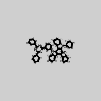 c1ccc(-c2nc(-c3ccccc3)nc(-c3cccc(-n4c5ccccc5c5c6c7ccccc7oc6c6c(c7ccccc7n6-c6ccccc6)c54)c3)n2)cc1